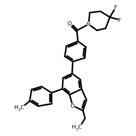 CCc1cc2cc(-c3ccc(C(=O)N4CCC(F)(F)CC4)cc3)cc(-c3ccc(C)cc3)c2o1